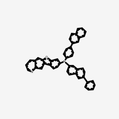 c1ccc(-c2ccc3cc(N(c4ccc(-c5ccc6ccccc6c5)cc4)c4ccc5c(c4)oc4cc6cccnc6cc45)ccc3c2)cc1